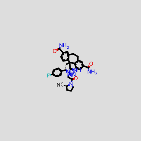 N#C[C@@H]1CCCN1C(=O)CN[C@@H](CC1(c2nnn[nH]2)c2ccc(C(N)=O)cc2CCc2cc(C(N)=O)ccc21)c1ccc(F)cc1